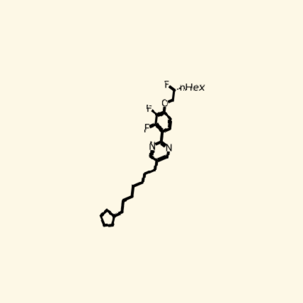 CCCCCC[C@@H](F)COc1ccc(-c2ncc(CCCCCCCC3CCCC3)cn2)c(F)c1F